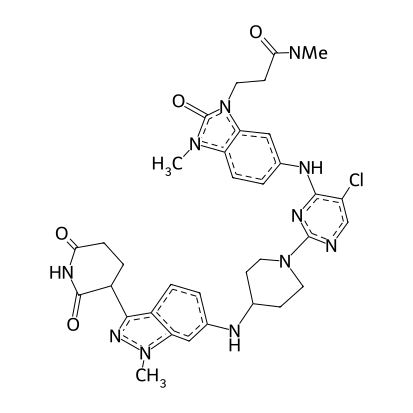 CNC(=O)CCn1c(=O)n(C)c2ccc(Nc3nc(N4CCC(Nc5ccc6c(C7CCC(=O)NC7=O)nn(C)c6c5)CC4)ncc3Cl)cc21